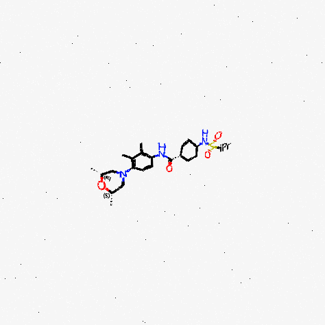 Cc1c(NC(=O)[C@H]2CC[C@H](NS(=O)(=O)C(C)C)CC2)ccc(N2C[C@@H](C)O[C@@H](C)C2)c1C